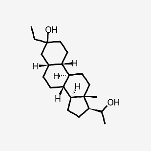 CCC1(O)CC[C@H]2[C@H](CC[C@@H]3[C@@H]2CC[C@]2(C)[C@@H](C(C)O)CC[C@@H]32)C1